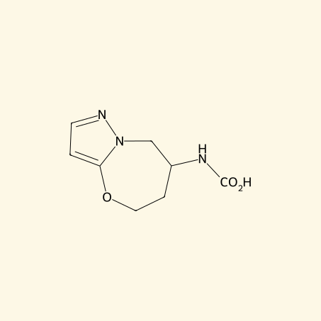 O=C(O)NC1CCOc2ccnn2C1